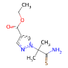 CCOC(=O)c1cnn(C(C)(C)C(N)=S)c1